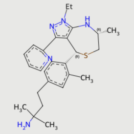 CCn1nc(-c2ccccn2)c2c1N[C@H](C)CS[C@@H]2c1ccc(CCC(C)(C)N)cc1C